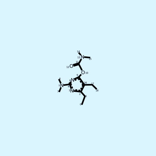 CCc1nc(N(C)C)nc(OC(=O)N(C)C)c1CC